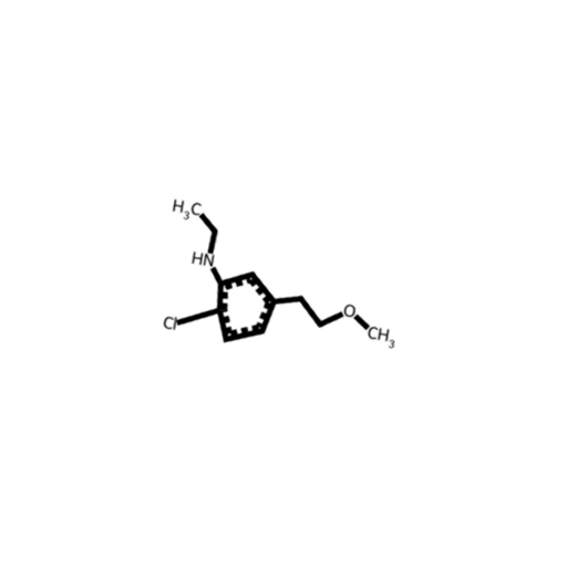 CCNc1cc(CCOC)ccc1Cl